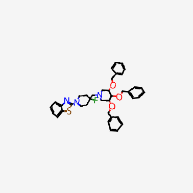 FC1(CN2C[C@H](OCc3ccccc3)C(OCc3ccccc3)[C@H](OCc3ccccc3)C2)CCN(c2nc3ccccc3s2)CC1